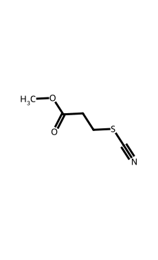 COC(=O)CCSC#N